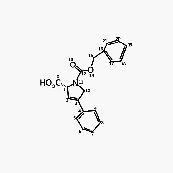 O=C(O)[C@H]1C=C(c2ccccc2)CN1C(=O)OCc1ccccc1